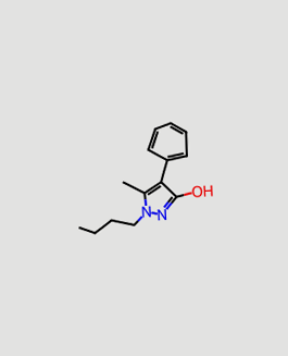 CCCCn1nc(O)c(-c2ccccc2)c1C